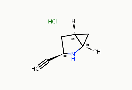 C#C[C@H]1C[C@H]2C[C@H]2N1.Cl